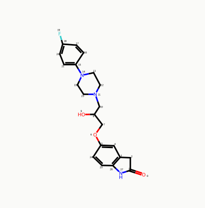 O=C1Cc2cc(OCC(O)CN3CCN(c4ccc(F)cc4)CC3)ccc2N1